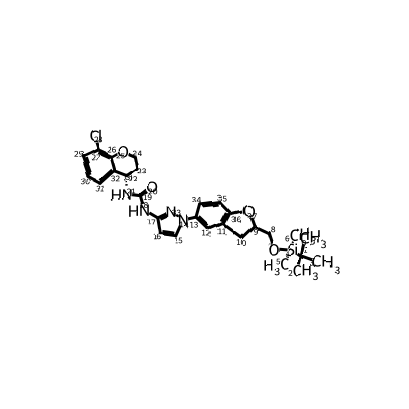 CC(C)(C)[Si](C)(C)OCC1Cc2cc(-n3ccc(NC(=O)N[C@H]4CCOc5c(Cl)cccc54)n3)ccc2O1